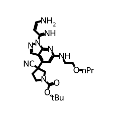 CCCOCCNc1cc(C2(C#N)CCN(C(=O)OC(C)(C)C)C2)c2cnn(C(=N)/C=C\N)c2n1